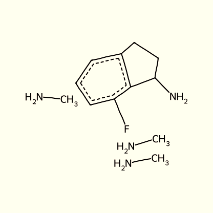 CN.CN.CN.NC1CCc2cccc(F)c21